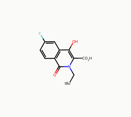 CC(C)(C)Cn1c(C(=O)O)c(O)c2cc(F)ccc2c1=O